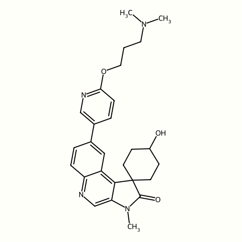 CN(C)CCCOc1ccc(-c2ccc3ncc4c(c3c2)C2(CCC(O)CC2)C(=O)N4C)cn1